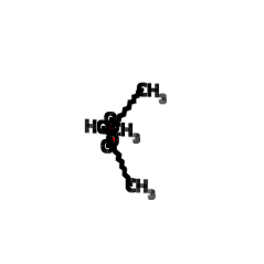 CCCCCCCCCCCC(=O)OCC(CC)(CO)COC(=O)CCCCCCCCCCC